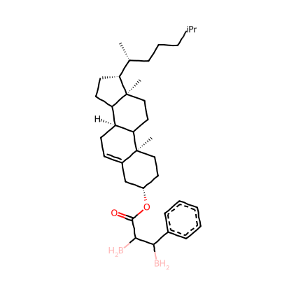 BC(C(=O)O[C@H]1CC[C@@]2(C)C(=CC[C@@H]3C2CC[C@@]2(C)C3CC[C@@H]2[C@H](C)CCCC(C)C)C1)C(B)c1ccccc1